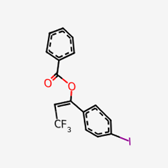 O=C(O/C(=C/C(F)(F)F)c1ccc(I)cc1)c1ccccc1